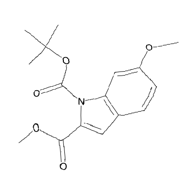 COC(=O)c1cc2ccc(OC)cc2n1C(=O)OC(C)(C)C